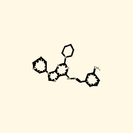 Cc1cccc(/C=N/Nc2nc(N3CCCCC3)nc3c2ncn3-c2cccnc2)c1